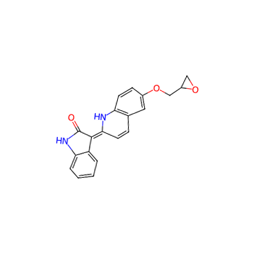 O=C1Nc2ccccc2/C1=C1\C=Cc2cc(OCC3CO3)ccc2N1